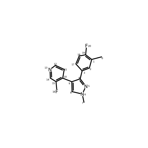 Cc1cc(-c2nn(C)cc2-c2ccncc2F)ccc1F